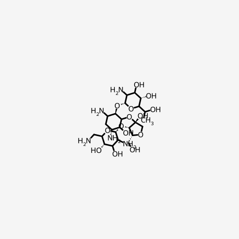 CC(O)C1O[C@H](O[C@@H]2C(N)C[C@@H](N)C(O)C2O[C@]2(O)CO[C@H](CO)[C@@H]2O[C@H]2OC(CN)[C@@H](O)C(O)C2N)C(N)C(O)[C@@H]1O